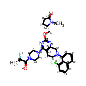 C=C(F)C(=O)N1CCN(c2nc(OC[C@@H]3CCC(=O)N3C)nc3c2CCN(c2cccc4cccc(Cl)c24)C3)CC1